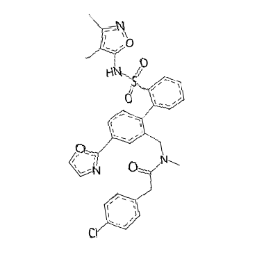 Cc1noc(NS(=O)(=O)c2ccccc2-c2ccc(-c3ncco3)cc2CN(C)C(=O)Cc2ccc(Cl)cc2)c1C